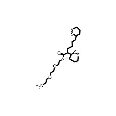 NCCOCCOCCNC(=O)C(CCCCC1CCCSS1)C1CCCSS1